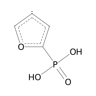 O=P(O)(O)c1c[c]co1